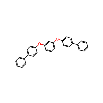 c1ccc(-c2ccc(Oc3cccc(Oc4ccc(-c5ccccc5)cc4)c3)cc2)cc1